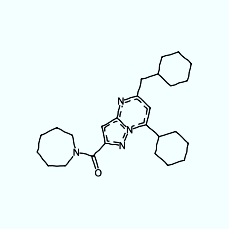 O=C(c1cc2nc(CC3CCCCC3)cc(C3CCCCC3)n2n1)N1CCCCCC1